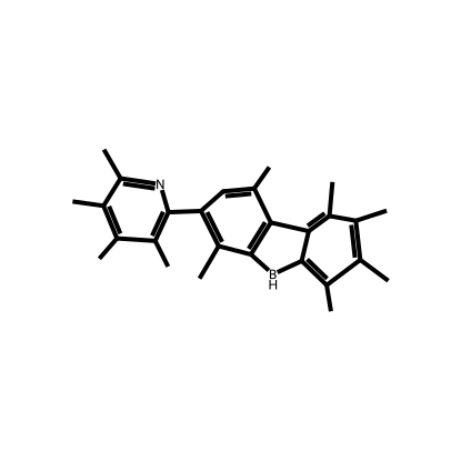 Cc1cc(-c2nc(C)c(C)c(C)c2C)c(C)c2c1-c1c(C)c(C)c(C)c(C)c1B2